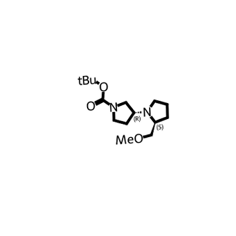 COC[C@@H]1CCCN1[C@@H]1CCN(C(=O)OC(C)(C)C)C1